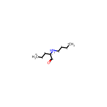 CCCCNC(C=O)CCC